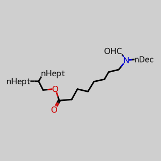 CCCCCCCCCCN(C=O)CCCCCCCC(=O)OCC(CCCCCCC)CCCCCCC